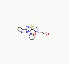 COCCCCNC(=O)c1csc2nc(-c3ccccn3)nc(N3CCCCC3)c12